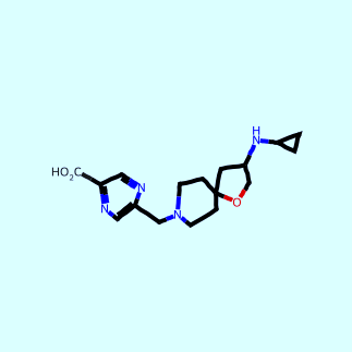 O=C(O)c1cnc(CN2CCC3(CC2)CC(NC2CC2)CO3)cn1